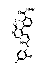 CNC(=O)c1cccc(-c2c(=O)ncn3nc(Oc4ccc(F)cc4F)ccc23)c1Cl